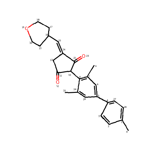 Cc1ccc(-c2cc(C)c(C3C(=O)C/C(=C\C4CCOCC4)C3=O)c(C)c2)cc1